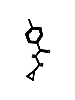 Cc1ccc(C(=O)NNC2CC2)cc1